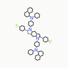 Fc1ccc(-c2cc3cc4c(cc3n2-c2ccc(N(c3ccccc3)c3cccc5ccccc35)cc2)CC(c2ccc(F)cc2)N4c2ccc(N(c3ccccc3)c3cccc4ccccc34)cc2)cc1